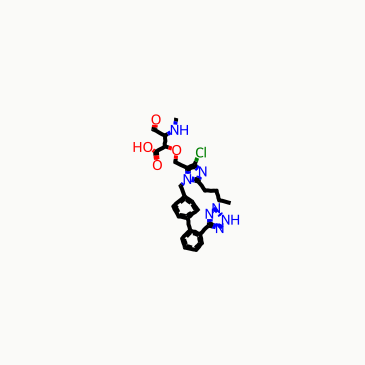 CCCCc1nc(Cl)c(COC(C(=O)O)C(C=O)NC)n1Cc1ccc(-c2ccccc2-c2nn[nH]n2)cc1